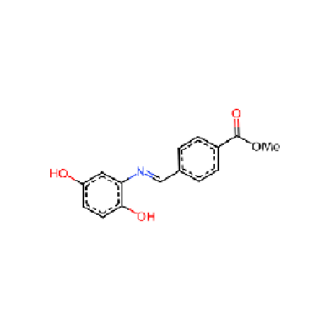 COC(=O)c1ccc(C=Nc2cc(O)ccc2O)cc1